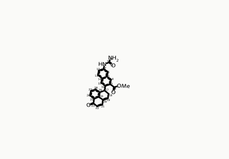 COC(=O)c1cc2cc(NC(N)=O)ccc2cc1C1CC=C2C=CC(=O)c3cccc1c32